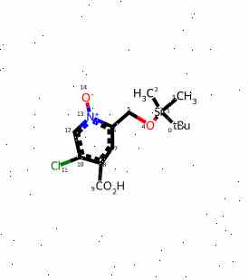 CC(C)(C)[Si](C)(C)OCc1cc(C(=O)O)c(Cl)c[n+]1[O-]